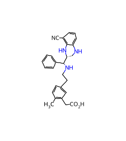 Cc1ccc(CCN[C@H](c2ccccc2)[C@H]2CNc3cccc(C#N)c3N2)cc1CC(=O)O